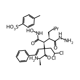 CC(C)C[C@@H](C(=O)NN)[C@H](C(=O)NO)C(/C=C/c1ccccc1)(CC(Cl)Cl)C(=O)[C@@H](C)N.Cc1ccc(S(=O)(=O)O)cc1